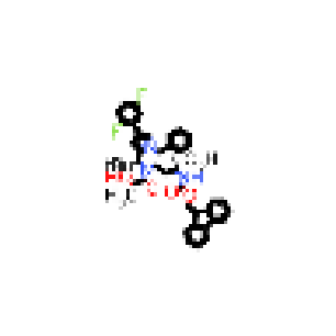 C[C@H](O)C(=O)N(CC[C@H](NC(=O)OCC1c2ccccc2-c2ccccc21)C(=O)O)[C@@H](c1cc(-c2cc(F)ccc2F)cn1Cc1ccccc1)C(C)(C)C